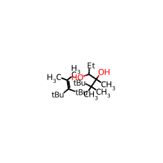 CC(C)=C(C(C)(C)C)C(C)(C)C.CCC(O)C(C)(O)C(C)(C)C(C)(C)C